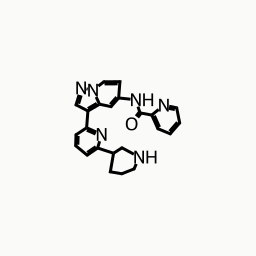 O=C(Nc1ccn2ncc(-c3cccc(C4CCCNC4)n3)c2c1)c1ccccn1